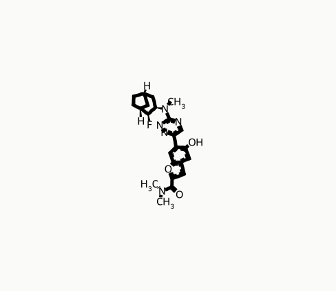 CN(C)C(=O)c1cc2cc(O)c(-c3cnc(N(C)[C@@H]4C[C@H]5CC[C@H](C5)[C@@H]4F)nn3)cc2o1